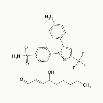 CCCCCC(O)/C=C/C=O.Cc1ccc(-c2cc(C(F)(F)F)nn2-c2ccc(S(N)(=O)=O)cc2)cc1